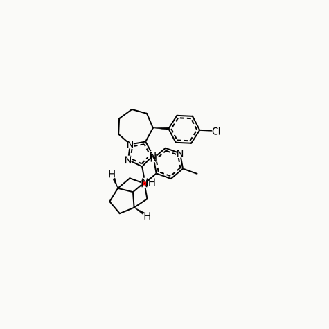 Cc1cc(N2C[C@H]3CC[C@@H](C2)C3Nc2nc3n(n2)CCCC[C@H]3c2ccc(Cl)cc2)ncn1